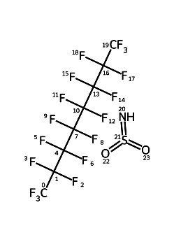 FC(F)(F)C(F)(F)C(F)(F)C(F)(F)C(F)(F)C(F)(F)C(F)(F)C(F)(F)F.N=S(=O)=O